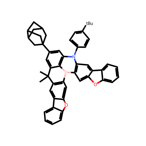 CC(C)(C)c1ccc(N2c3cc4c(cc3B3c5cc6oc7ccccc7c6cc5C(C)(C)c5cc(C67CC8CC(C6)C(C8)C7)cc2c53)oc2ccccc24)cc1